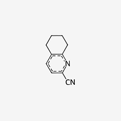 N#Cc1ccc2c(n1)CCCC2